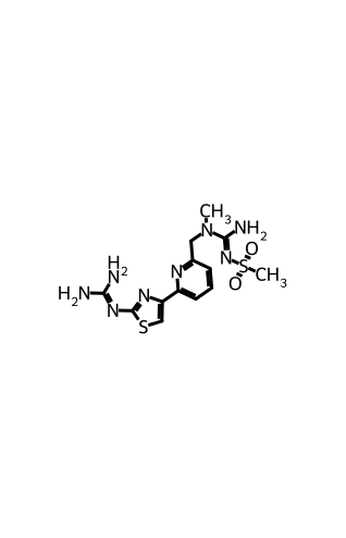 CN(Cc1cccc(-c2csc(N=C(N)N)n2)n1)C(N)=NS(C)(=O)=O